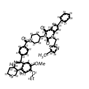 CCOc1cc2c(cc1OC)C(c1ccc(C(=O)N3CCC(n4c(=O)c5sc(-c6ccccc6)cc5n(Cc5ncc(C)s5)c4=O)CC3)cc1)=N[C@@H]1CCSC[C@H]21